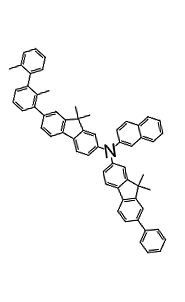 Cc1ccccc1-c1cccc(-c2ccc3c(c2)C(C)(C)c2cc(N(c4ccc5c(c4)C(C)(C)c4cc(-c6ccccc6)ccc4-5)c4ccc5ccccc5c4)ccc2-3)c1C